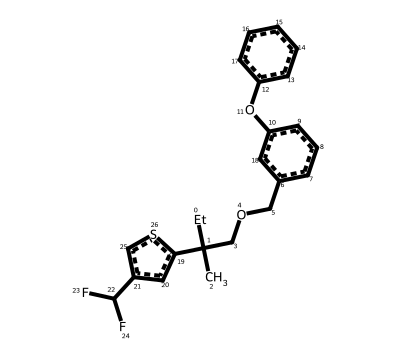 CCC(C)(COCc1cccc(Oc2ccccc2)c1)c1cc(C(F)F)cs1